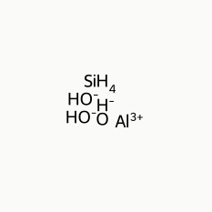 [Al+3].[OH-].[OH-].[OH-].[SiH4]